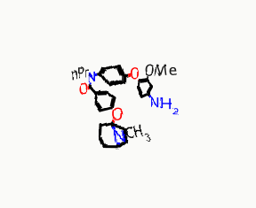 CCCN(C(=O)c1ccc(OC23CCCC(CC2)N3C)cc1)c1ccc(Oc2ccc(N)cc2OC)cc1